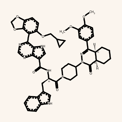 COc1ccc(C2=NN(C3CCN(C(=O)[C@@H](Cc4c[nH]c5ccccc45)NC(=O)c4c[nH]c5c(-c6c(OCC7CC7)ccc7c6OCO7)ncnc45)CC3)C(=O)[C@@H]3CCCC[C@H]23)cc1OC